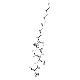 CCCCCCCCCCCC(=O)Nc1ccc(C(=O)CCC(=O)O)cc1